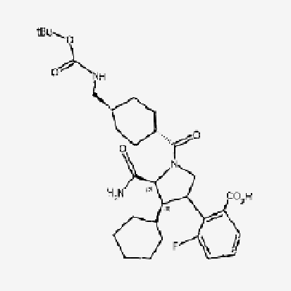 CC(C)(C)OC(=O)NC[C@H]1CC[C@H](C(=O)N2CC(c3c(F)cccc3C(=O)O)[C@@H](C3CCCCC3)[C@H]2C(N)=O)CC1